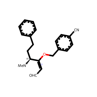 CN[C@@H](CCc1ccccc1)/C(=C\C=O)OCc1ccc(C#N)cc1